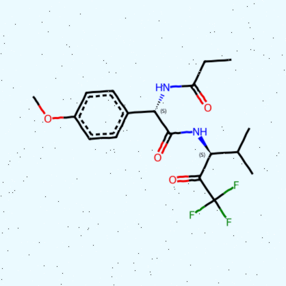 CCC(=O)N[C@H](C(=O)N[C@H](C(=O)C(F)(F)F)C(C)C)c1ccc(OC)cc1